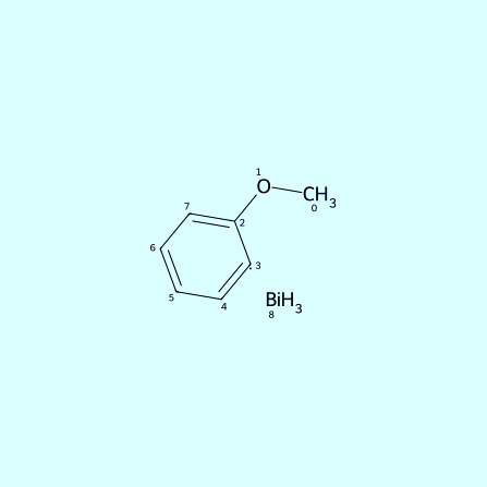 COc1[c]cccc1.[BiH3]